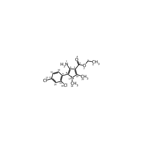 CCOC(=O)c1c(N)c(-c2ccc(Cl)cc2Cl)n(C)c1C